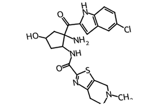 CN1CCc2nc(C(=O)NC3CC(O)CC3(N)C(=O)c3cc4cc(Cl)ccc4[nH]3)sc2C1